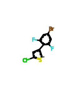 Fc1cc(Br)cc(F)c1-c1[c]sc(Cl)c1